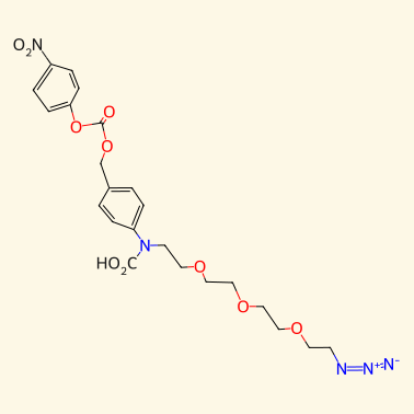 [N-]=[N+]=NCCOCCOCCOCCN(C(=O)O)c1ccc(COC(=O)Oc2ccc([N+](=O)[O-])cc2)cc1